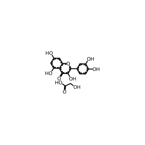 O=C(O)CO.O=c1c(O)c(-c2ccc(O)c(O)c2)oc2cc(O)cc(O)c12